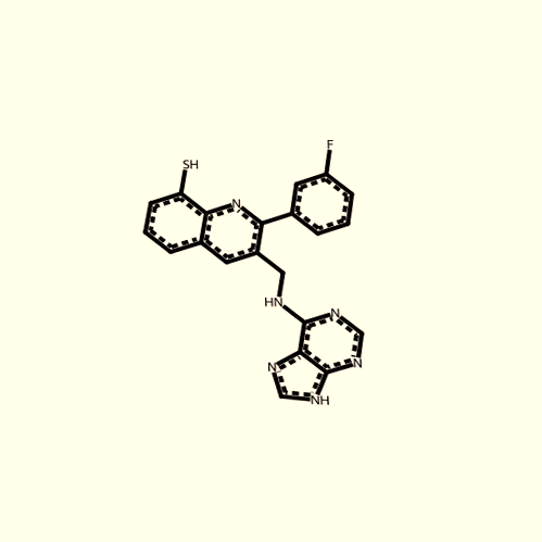 Fc1cccc(-c2nc3c(S)cccc3cc2CNc2ncnc3[nH]cnc23)c1